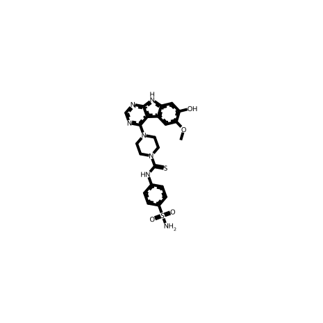 COc1cc2c(cc1O)[nH]c1ncnc(N3CCN(C(=S)Nc4ccc(S(N)(=O)=O)cc4)CC3)c12